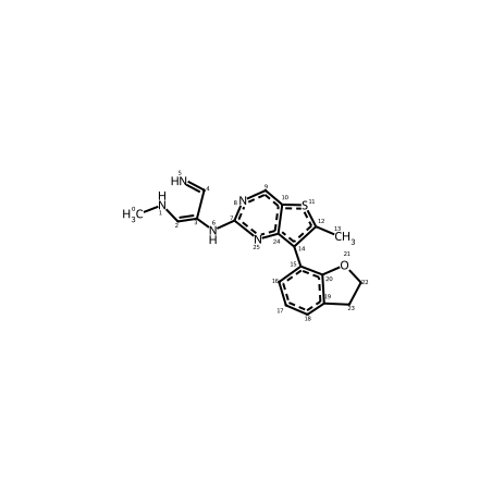 CN/C=C(\C=N)Nc1ncc2sc(C)c(-c3cccc4c3OCC4)c2n1